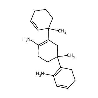 CC1(C2=C(N)CCC(C)(C3=C(N)C=CCC3)C2)C=CCCC1